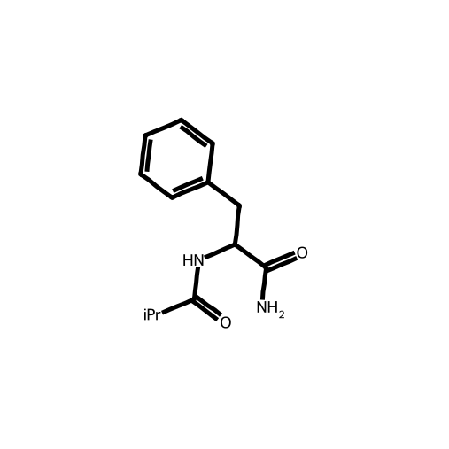 CC(C)C(=O)NC(Cc1ccccc1)C(N)=O